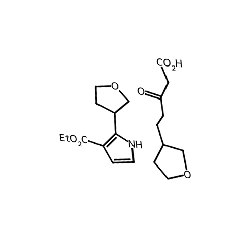 CCOC(=O)c1cc[nH]c1C1CCOC1.O=C(O)CC(=O)CCC1CCOC1